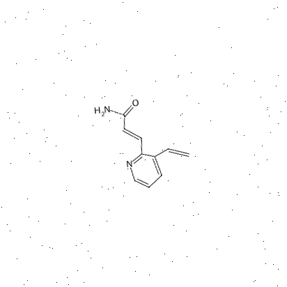 C=Cc1cccnc1C=CC(N)=O